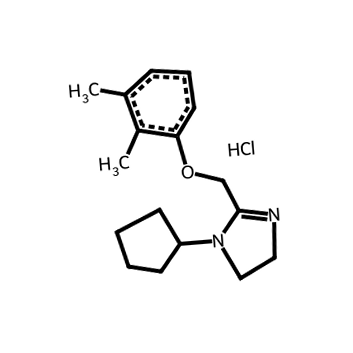 Cc1cccc(OCC2=NCCN2C2CCCC2)c1C.Cl